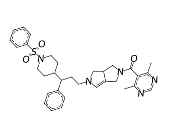 Cc1ncnc(C)c1C(=O)N1CC2=CN(CCC(c3ccccc3)C3CCN(S(=O)(=O)c4ccccc4)CC3)CC2C1